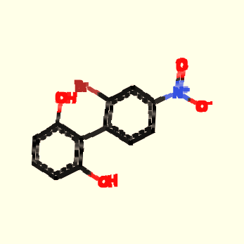 O=[N+]([O-])c1ccc(-c2c(O)cccc2O)c(Br)c1